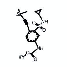 CC(C)OC(=O)Nc1ccc(C#C[Si](C)(C)C)c(S(=O)(=O)NC2CC2)c1